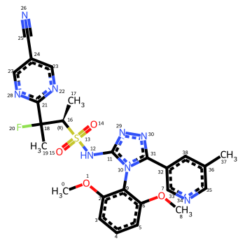 COc1cccc(OC)c1-n1c(NS(=O)(=O)[C@H](C)C(C)(F)c2ncc(C#N)cn2)nnc1-c1cncc(C)c1